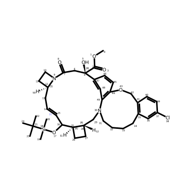 COC(=O)[C@@]1(O)CC(=O)N2CC[C@@H]2C/C=C/C(O[Si](C)(C)C(C)(C)C)[C@@H]2CC[C@H]2CN2CCCCc3cc(Cl)ccc3COc3ccc1cc32